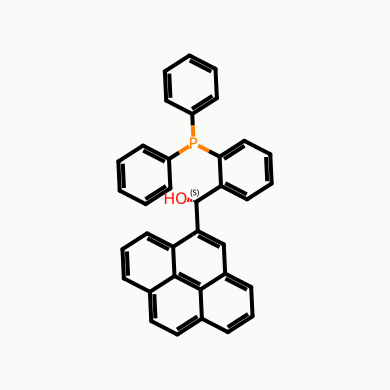 O[C@H](c1ccccc1P(c1ccccc1)c1ccccc1)c1cc2cccc3ccc4cccc1c4c32